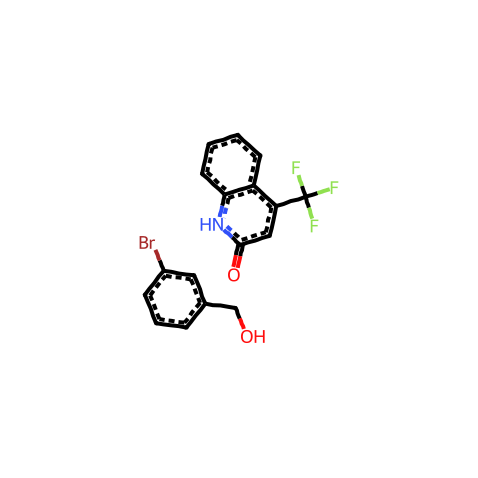 O=c1cc(C(F)(F)F)c2ccccc2[nH]1.OCc1cccc(Br)c1